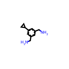 NCc1[c]c(C2CC2)cc(CN)c1